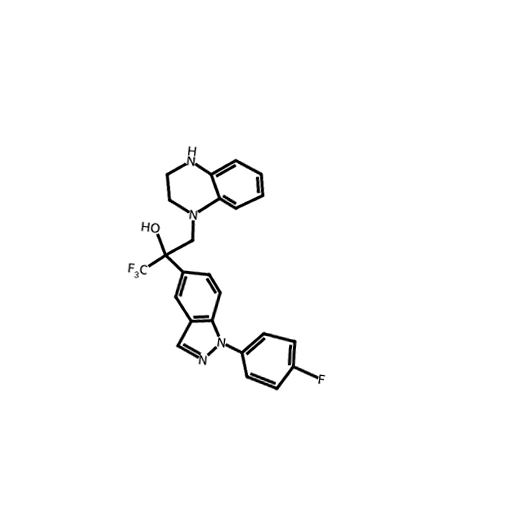 OC(CN1CCNc2ccccc21)(c1ccc2c(cnn2-c2ccc(F)cc2)c1)C(F)(F)F